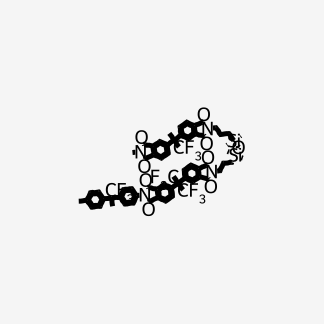 Cc1ccc(C(C)(c2ccc(N3C(=O)c4ccc(C(c5ccc6c(c5)C(=O)N(CCC[Si](C)(C)O[Si](C)(C)CCCN5C(=O)c7ccc(C(C)(c8ccc9c(c8)C(=O)N(C)C9=O)C(F)(F)F)cc7C5=O)C6=O)(C(F)(F)F)C(F)(F)F)cc4C3=O)cc2)C(F)(F)F)cc1